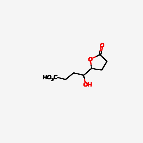 O=C(O)CCC(O)C1CCC(=O)O1